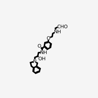 O=CCNCCOc1cccc(C(=O)NCC(O)CN2CCc3ccccc3C2)c1